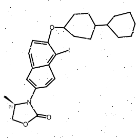 C[C@@H]1COC(=O)N1c1ccc2c(I)c(OC3CCC(C4CCCCC4)CC3)ccc2c1